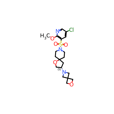 COc1ncc(Cl)cc1S(=O)(=O)N1CCC2(CC1)C[C@H](N1CC3(COC3)C1)CO2